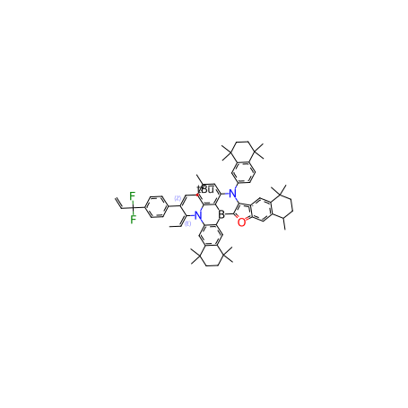 C=CC(F)(F)c1ccc(C(=C/CC(C)(C)C)/C(=C\C)N2c3cc4c(cc3B3c5oc6cc7c(cc6c5N(c5ccc6c(c5)C(C)(C)CCC6(C)C)c5cc(C)cc2c53)C(C)(C)CCC7C)C(C)(C)CCC4(C)C)cc1